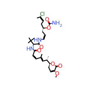 COC1=CC[C@@H]([C@@H](C)/C=C(C)/C=C\C(=O)N[C@H](C(=O)N/C=C\C[C@H](C/C=C(\C)Cl)OC(N)=O)C(C)(C)C)OC1=O